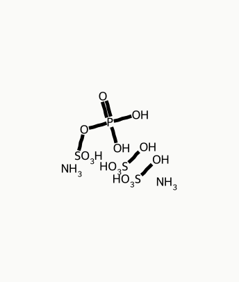 N.N.O=P(O)(O)OS(=O)(=O)O.O=S(=O)(O)O.O=S(=O)(O)O